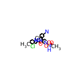 CC(=O)NS(=O)(=O)N1CCC(NC(=O)c2cc3c(Cl)c(C)ccc3n2C)(c2cccc(C#N)c2)CC1